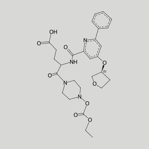 CCOC(=O)ON1CCN(C(=O)C(CCC(=O)O)NC(=O)c2cc(O[C@H]3CCOC3)cc(-c3ccccc3)n2)CC1